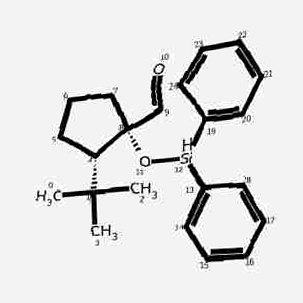 CC(C)(C)[C@@H]1CCC[C@]1(C=O)O[SiH](c1ccccc1)c1ccccc1